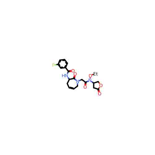 CCON(C(=O)CN1CC=CCC(NC(=O)c2cccc(F)c2)C1=O)C1COC(=O)C1